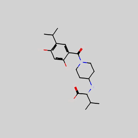 CC(C)c1cc(C(=O)N2CCC(N[C@H](C(=O)O)C(C)C)CC2)c(O)cc1O